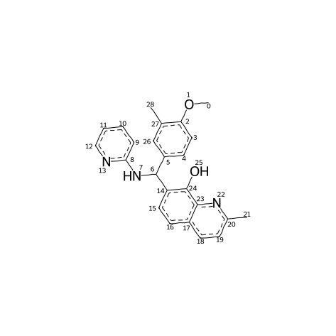 COc1ccc(C(Nc2ccccn2)c2ccc3ccc(C)nc3c2O)cc1C